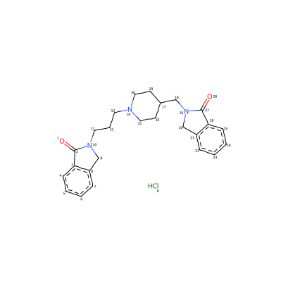 Cl.O=C1c2ccccc2CN1CCCN1CCC(CN2Cc3ccccc3C2=O)CC1